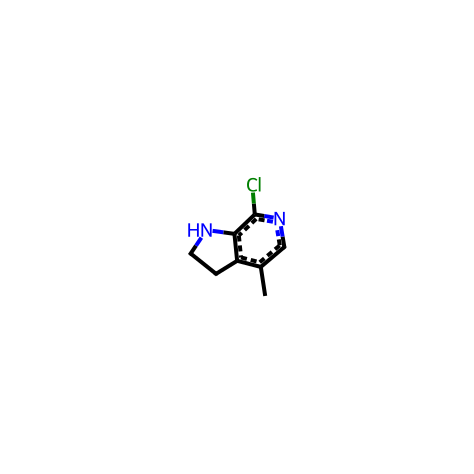 Cc1cnc(Cl)c2c1CCN2